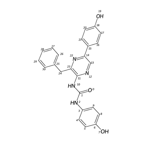 O=C(Nc1ccc(O)cc1)Nc1ncc(-c2ccc(O)cc2)nc1Cc1ccccc1